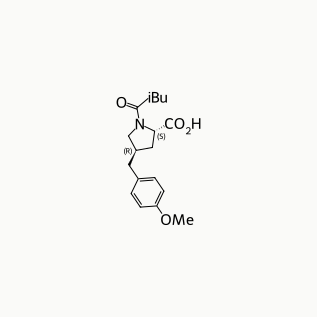 CCC(C)C(=O)N1C[C@H](Cc2ccc(OC)cc2)C[C@H]1C(=O)O